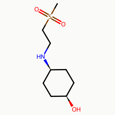 CS(=O)(=O)CCN[C@H]1CC[C@@H](O)CC1